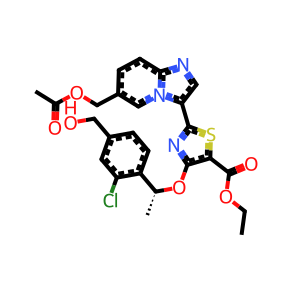 CCOC(=O)c1sc(-c2cnc3ccc(COC(C)=O)cn23)nc1O[C@H](C)c1ccc(CO)cc1Cl